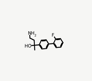 CC(O)(CCN)c1ccc(-c2ccccc2F)cc1